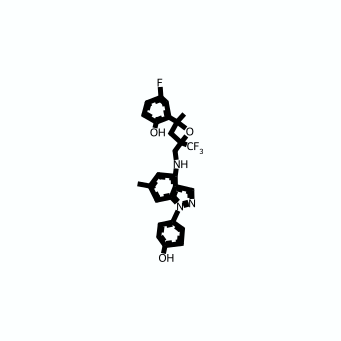 Cc1cc(NCC2(C(F)(F)F)CC(C)(c3cc(F)ccc3O)O2)c2cnn(-c3ccc(O)cc3)c2c1